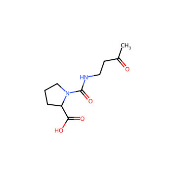 CC(=O)CCNC(=O)N1CCCC1C(=O)O